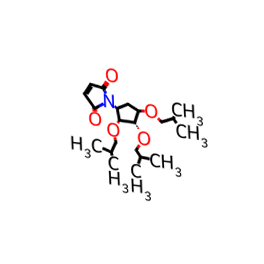 CC(C)COC1C[C@H](N2C(=O)C=CC2=O)[C@H](OCC(C)C)[C@H]1OCC(C)C